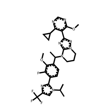 COc1ncnc(C2CC2)c1-c1nc2n(n1)CCCN2C(C)c1ccc(-c2nc(C(F)(F)F)cn2C(C)C)c(F)c1OC